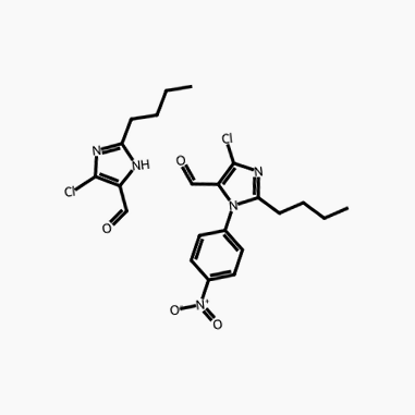 CCCCc1nc(Cl)c(C=O)[nH]1.CCCCc1nc(Cl)c(C=O)n1-c1ccc([N+](=O)[O-])cc1